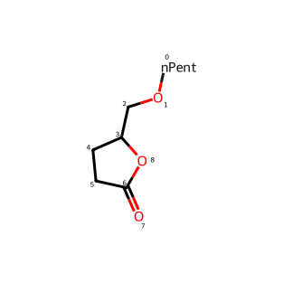 CCCCCOCC1CCC(=O)O1